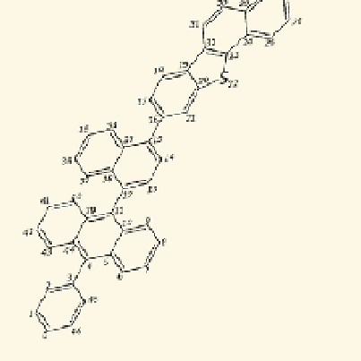 c1ccc(-c2c3ccccc3c(-c3ccc(-c4ccc5c(c4)sc4c6ccccc6ccc54)c4ccccc34)c3ccccc23)cc1